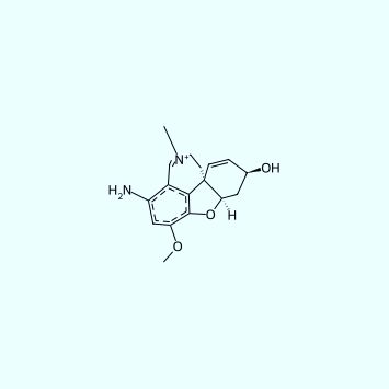 COc1cc(N)c2c3c1O[C@@H]1C[C@H](O)C=C[C@]31CC[N+](C)=C2